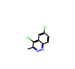 Cc1nnc2ccc(Cl)cc2c1Cl